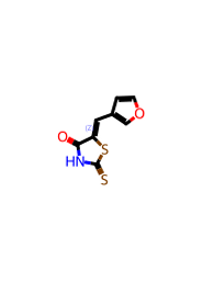 O=C1NC(=S)S/C1=C\c1ccoc1